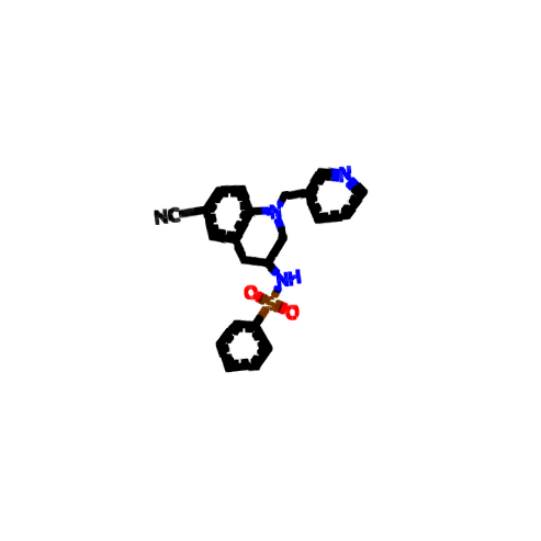 N#Cc1ccc2c(c1)CC(NS(=O)(=O)c1ccccc1)CN2Cc1cccnc1